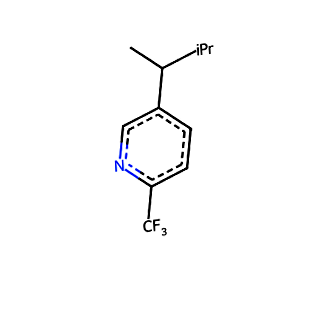 CC(C)C(C)c1ccc(C(F)(F)F)nc1